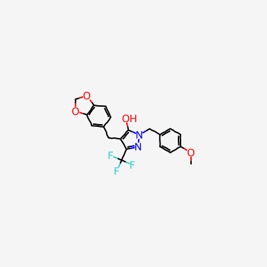 COc1ccc(Cn2nc(C(F)(F)F)c(Cc3ccc4c(c3)OCO4)c2O)cc1